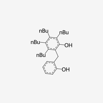 CCCCc1c(O)c(Cc2ccccc2O)c(CCCC)c(CCCC)c1CCCC